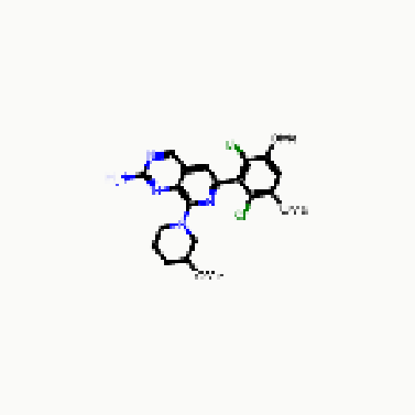 COc1cc(OC)c(Cl)c(-c2cc3cnc(N)nc3c(N3CCCC(OC)C3)n2)c1Cl